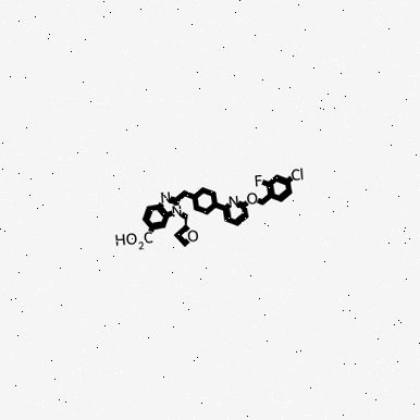 O=C(O)c1ccc2nc(CC3CCC(c4cccc(OCc5ccc(Cl)cc5F)n4)CC3)n(C[C@@H]3CCO3)c2c1